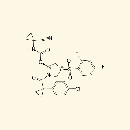 N#CC1(NC(=O)O[C@H]2C[C@@H](S(=O)(=O)c3ccc(F)cc3F)CN2C(=O)C2(c3ccc(Cl)cc3)CC2)CC1